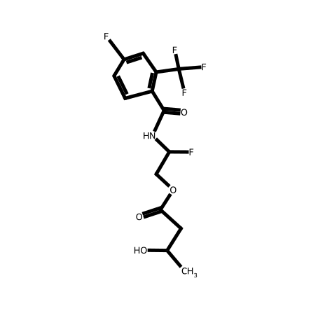 CC(O)CC(=O)OCC(F)NC(=O)c1ccc(F)cc1C(F)(F)F